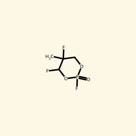 CC1(F)COP(=O)(F)OC1F